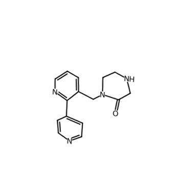 O=C1CNCCN1Cc1cccnc1-c1ccncc1